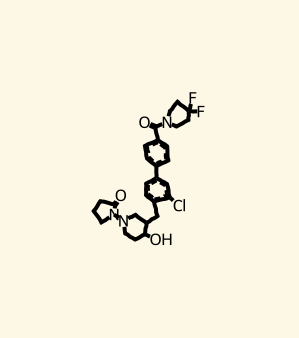 O=C(c1ccc(-c2ccc(CC3CN(N4CCCC4=O)CCC3O)c(Cl)c2)cc1)N1CCC(F)(F)CC1